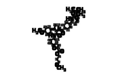 COCCCOC(=O)c1cc2cc(NC(=O)[C@H]3[C@@H](C4CCC(OC)CC4)CCN3C(=O)[C@H]3CC[C@H]([C@@H](CF)NC(=O)OC(C)(C)C)CC3)ccc2o1